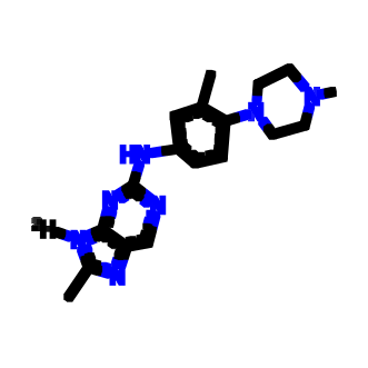 [2H]n1c(C)nc2cnc(Nc3ccc(N4CCN(C)CC4)c(C)c3)nc21